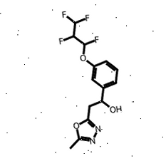 Cc1nnc(CC(O)c2cccc(OC(F)C(F)C(F)F)c2)o1